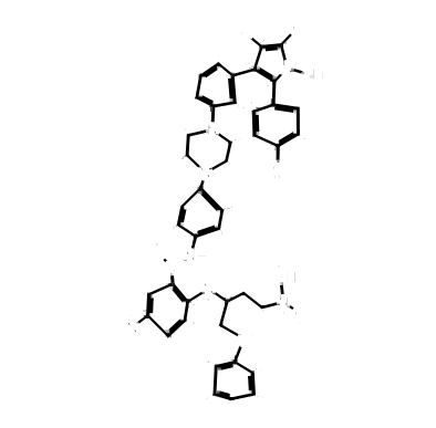 CCCn1c(C)c(C)c(-c2cccc(N3CCN(c4ccc(N[S+]([O-])c5cc([N+](=O)[O-])ccc5NC(CCN(C)C)CSc5ccccc5)cc4)CC3)c2)c1-c1ccc(Cl)cc1